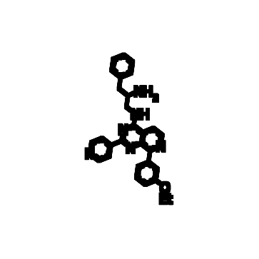 CCOc1cccc(-c2nccc3c(NC[C@H](N)Cc4ccccc4)nc(-c4ccncc4)nc23)c1